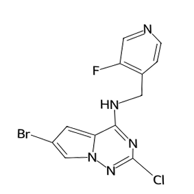 Fc1cnccc1CNc1nc(Cl)nn2cc(Br)cc12